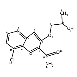 CC(O)COc1cc2nccc(Cl)c2cc1C(N)=O